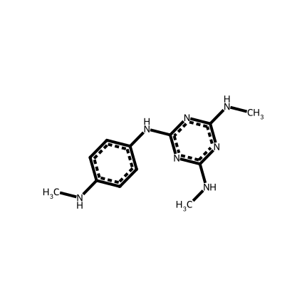 CNc1ccc(Nc2nc(NC)nc(NC)n2)cc1